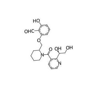 O=Cc1c(O)cccc1OCC1CCCCN1C(=O)c1cccnc1[C@@H](O)CO